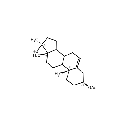 CC(=O)O[C@H]1CC[C@@]2(C)C(=CCC3C2CC[C@@]2(C)C3CC[C@]2(C)O)C1